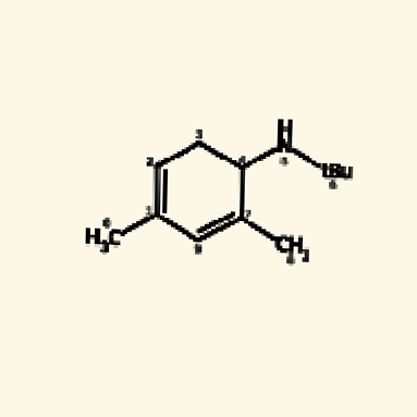 CC1=CCC(NC(C)(C)C)C(C)=C1